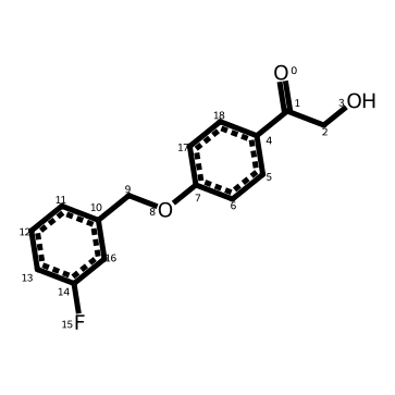 O=C(CO)c1ccc(OCc2cccc(F)c2)cc1